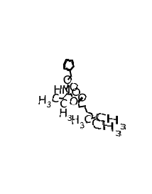 CC(C)[C@H](NC(=O)OCc1ccccc1)C(=O)OC(=O)CCCCC(C)(C)C